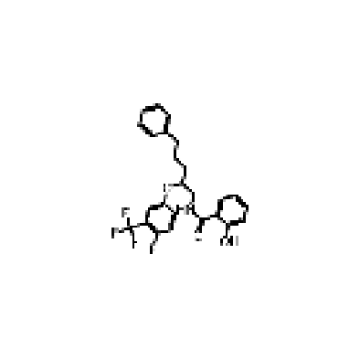 O=C(NCC(CCCc1ccccc1)Oc1ccc(F)c(C(F)(F)F)c1)c1ccccc1O